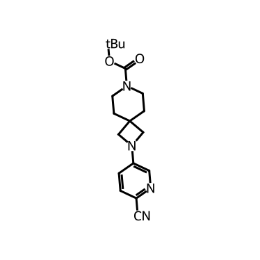 CC(C)(C)OC(=O)N1CCC2(CC1)CN(c1ccc(C#N)nc1)C2